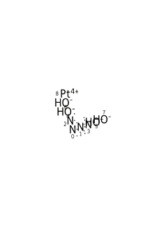 [N].[N].[N].[N].[OH-].[OH-].[OH-].[OH-].[Pt+4]